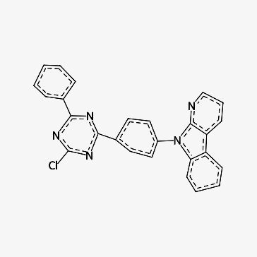 Clc1nc(-c2ccccc2)nc(-c2ccc(-n3c4ccccc4c4cccnc43)cc2)n1